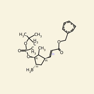 B[C@H]1C[C@H](/C=C/C(=O)OCc2ccccc2)C(C)[C@@H]1OP(C)(=O)OC(C)(C)C